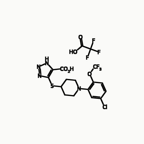 O=C(O)C(F)(F)F.O=C(O)c1[nH]nnc1SC1CCN(c2cc(Cl)ccc2OC(F)(F)F)CC1